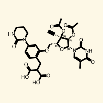 C#C[C@@]1(OC(C)=O)[C@@H](COc2cc(N3CCCNC3=O)ccc2CC(C(=O)O)C(=O)O)O[C@@H](n2cc(C)c(=O)[nH]c2=O)[C@@H]1OC(C)=O